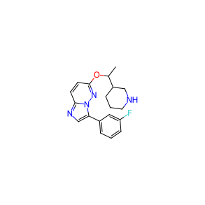 CC(Oc1ccc2ncc(-c3cccc(F)c3)n2n1)C1CCCNC1